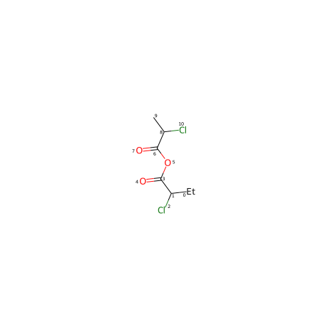 CCC(Cl)C(=O)OC(=O)C(C)Cl